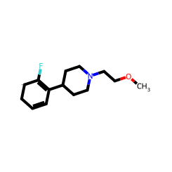 COCCN1CCC(C2=C(F)[CH]CC=C2)CC1